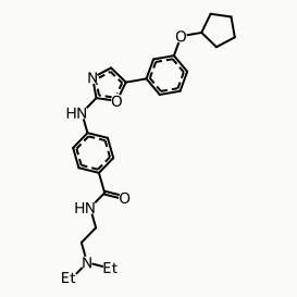 CCN(CC)CCNC(=O)c1ccc(Nc2ncc(-c3cccc(OC4CCCC4)c3)o2)cc1